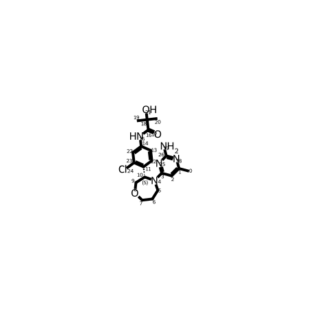 Cc1cc(N2CCCOC[C@@H]2c2ccc(NC(=O)C(C)(C)O)cc2Cl)nc(N)n1